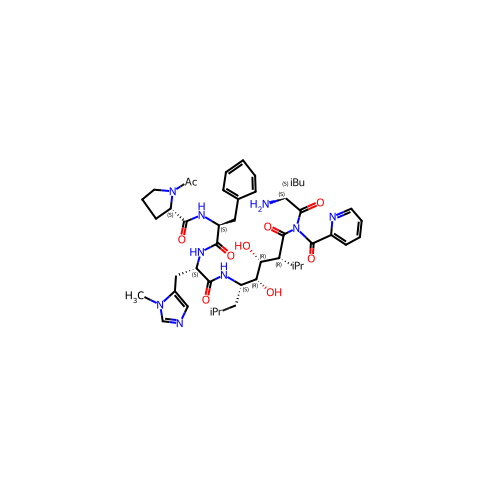 CC[C@H](C)[C@H](N)C(=O)N(C(=O)c1ccccn1)C(=O)[C@H](C(C)C)[C@@H](O)[C@H](O)[C@H](CC(C)C)NC(=O)[C@H](Cc1cncn1C)NC(=O)[C@H](Cc1ccccc1)NC(=O)[C@@H]1CCCN1C(C)=O